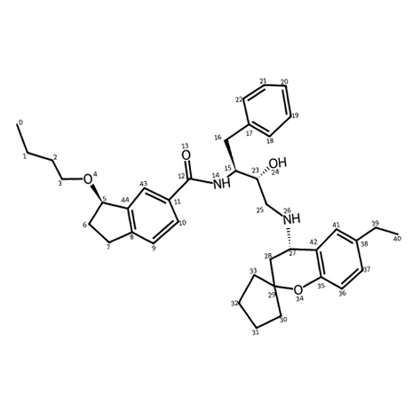 CCCCO[C@@H]1CCc2ccc(C(=O)N[C@@H](Cc3ccccc3)[C@H](O)CN[C@H]3CC4(CCCC4)Oc4ccc(CC)cc43)cc21